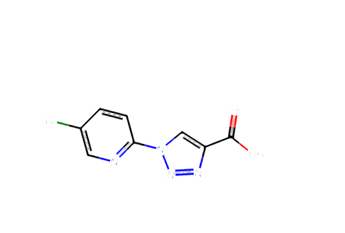 O=C(O)c1cn(-c2ccc(Br)cn2)nn1